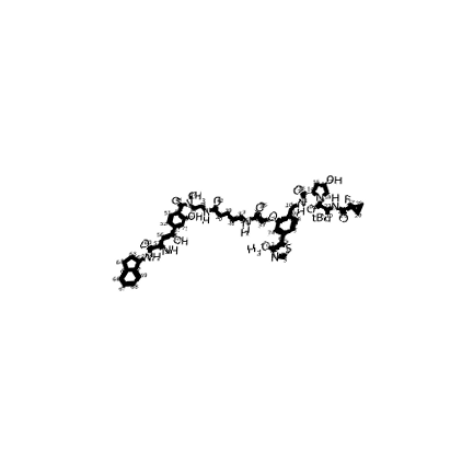 Cc1ncsc1-c1ccc(CNC(=O)[C@@H]2C[C@@H](O)CN2C(=O)C(NC(=O)C2(F)CC2)C(C)(C)C)c(OCC(=O)NCCCCC(=O)NCCN(C)C(=O)c2ccc(/C(O)=C/C(=N)C(=O)NC3CCc4ccccc43)cc2O)c1